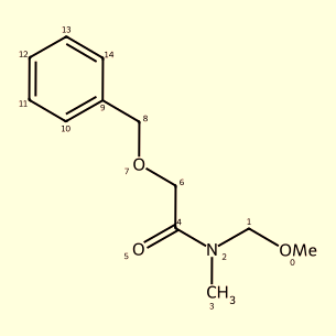 COCN(C)C(=O)COCc1ccccc1